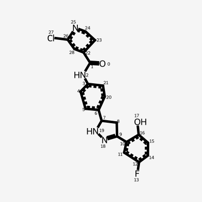 O=C(Nc1ccc(C2CC(c3cc(F)ccc3O)=NN2)cc1)c1ccnc(Cl)c1